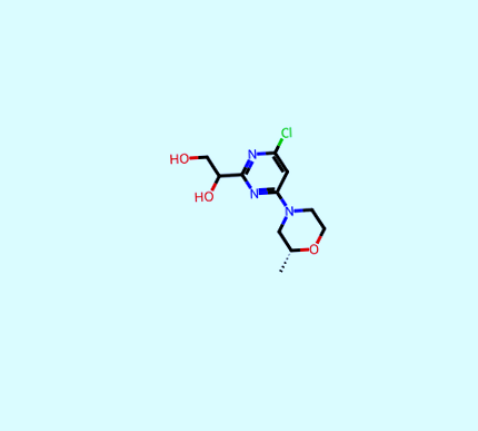 C[C@@H]1CN(c2cc(Cl)nc(C(O)CO)n2)CCO1